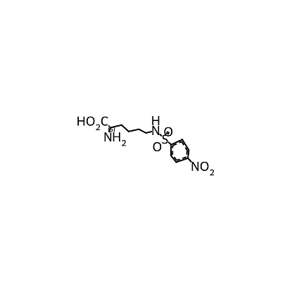 N[C@@H](CCCCNS(=O)(=O)c1ccc([N+](=O)[O-])cc1)C(=O)O